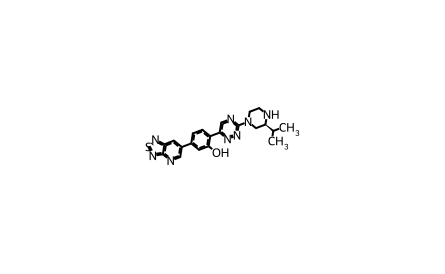 CC(C)[C@H]1CN(c2ncc(-c3ccc(-c4cnc5nsnc5c4)cc3O)nn2)CCN1